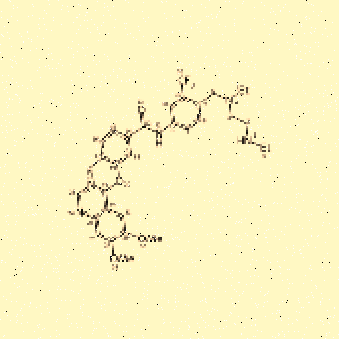 CCNCCN(CC)Cc1ccc(NC(=O)c2ccc(C)c(Oc3ncnc4cc(OC)c(OC)cc34)c2)cc1C(F)(F)F